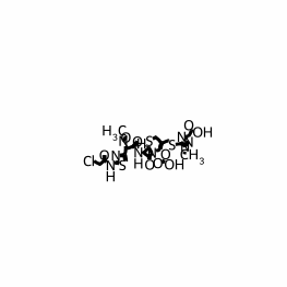 CO/N=C(\C(=O)N[C@@H]1C(=O)N2C(OC(=O)O)=C(CSc3nc(C(=O)O)nn3C)CS[C@H]12)c1csc(NC(=O)CCl)n1